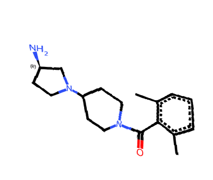 Cc1cccc(C)c1C(=O)N1CCC(N2CC[C@@H](N)C2)CC1